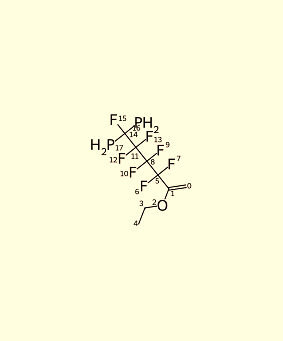 C=C(OCC)C(F)(F)C(F)(F)C(F)(F)C(F)(P)P